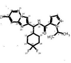 CC(C)n1nccc1C(=O)NC(c1cn2ncc(Cl)cc2n1)C1CCC(F)(F)CC1